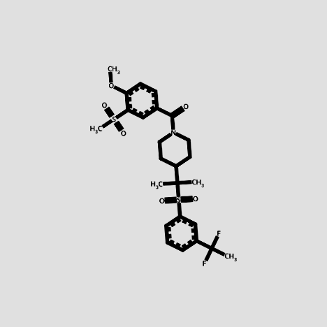 COc1ccc(C(=O)N2CCC(C(C)(C)S(=O)(=O)c3cccc(C(C)(F)F)c3)CC2)cc1S(C)(=O)=O